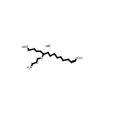 Br.CCCCCCCC/C=C\CCCCCCCC(CCCCCCCCCCCCCC)OCCCN